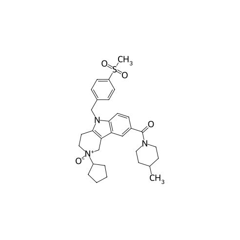 CC1CCN(C(=O)c2ccc3c(c2)c2c(n3Cc3ccc(S(C)(=O)=O)cc3)CC[N+]([O-])(C3CCCC3)C2)CC1